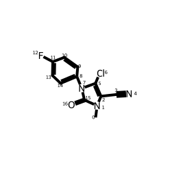 Cn1c(C#N)c(Cl)n(-c2ccc(F)cc2)c1=O